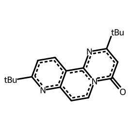 CC(C)(C)c1ccc2c(ccn3c(=O)cc(C(C)(C)C)nc23)n1